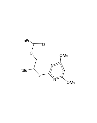 CCCC(=O)OCC(Sc1nc(OC)cc(OC)n1)C(C)(C)C